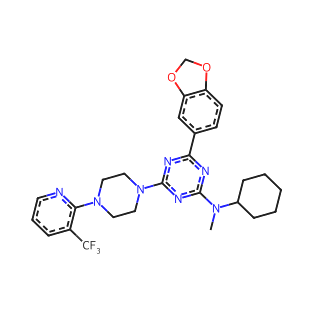 CN(c1nc(-c2ccc3c(c2)OCO3)nc(N2CCN(c3ncccc3C(F)(F)F)CC2)n1)C1CCCCC1